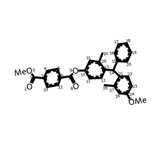 COC(=O)c1ccc(C(=O)Oc2ccc(C(c3ccccc3)c3ccc(OC)cc3C)c(C)c2)cc1